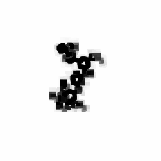 Cc1cc(Nc2nccc(OC3CC(C)(C)NC(C)(C)C3)n2)cc(-c2cnc(C3(O)CCC3)s2)c1